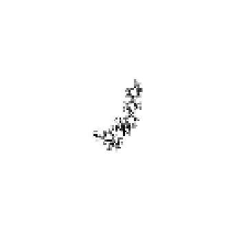 N#CC1(C(=O)NCc2cc(CF)cc(C(F)(F)F)c2)CCC(N2CCC(c3ccc(F)cc3)CC2)C1